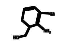 CCC1=C(N)C(CO)CC=C1